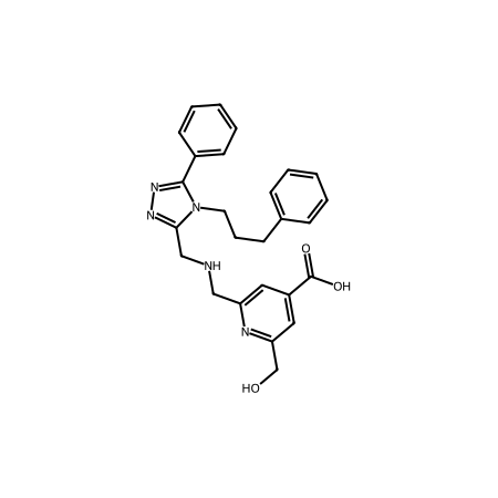 O=C(O)c1cc(CO)nc(CNCc2nnc(-c3ccccc3)n2CCCc2ccccc2)c1